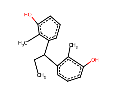 CCC(c1cccc(O)c1C)c1cccc(O)c1C